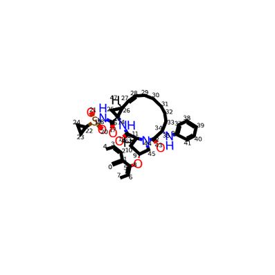 C=C(/C=C\C)/C(=C\C)O[C@@H]1C[C@H]2C(=O)N[C@]3(C(=O)NS(=O)(=O)C4CC4)C[C@H]3/C=C\CCCCC[C@H](Nc3ccccc3)C(=O)N2C1